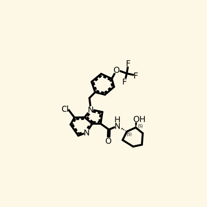 O=C(N[C@H]1CCCC[C@@H]1O)c1cn(Cc2ccc(OC(F)(F)F)cc2)c2c(Cl)ccnc12